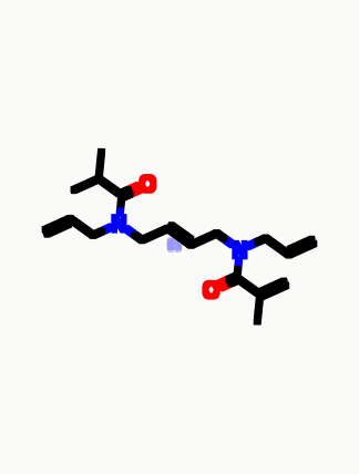 C=CCN(C/C=C/CN(CC=C)C(=O)C(C)C)C(=O)C(=C)C